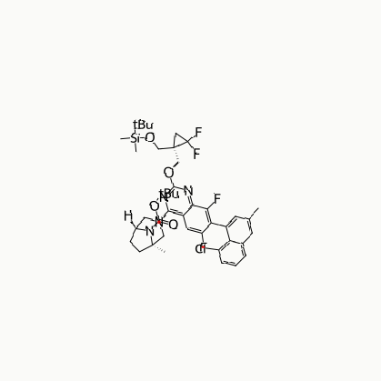 Cc1cc(-c2c(F)cc3c(N4C[C@H]5CC[C@](C)(C4)N5C(=O)OC(C)(C)C)nc(OC[C@]4(CO[Si](C)(C)C(C)(C)C)CC4(F)F)nc3c2F)c2c(Cl)cccc2c1